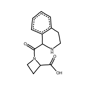 O=C(O)C1CCN1C(=O)C1NCCc2ccccc21